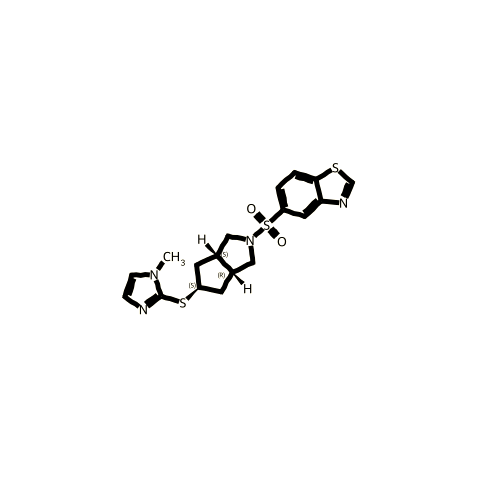 Cn1ccnc1S[C@H]1C[C@@H]2CN(S(=O)(=O)c3ccc4scnc4c3)C[C@@H]2C1